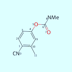 [C-]#[N+]c1ccc(OC(=O)NC)cc1C